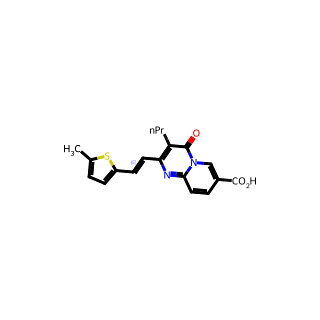 CCCc1c(/C=C/c2ccc(C)s2)nc2ccc(C(=O)O)cn2c1=O